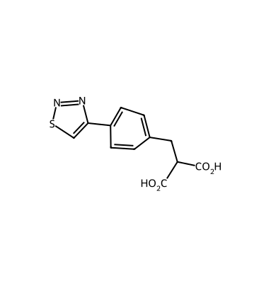 O=C(O)C(Cc1ccc(-c2csnn2)cc1)C(=O)O